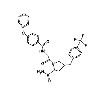 NC(=O)C1CC(Cc2ccc(C(F)(F)F)cc2)CN1C(=O)CNC(=O)c1ccc(Oc2ccccc2)cc1